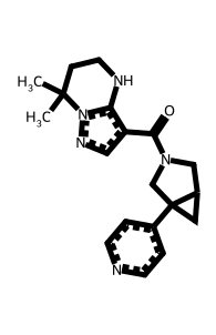 CC1(C)CCNc2c(C(=O)N3CC4CC4(c4ccncc4)C3)cnn21